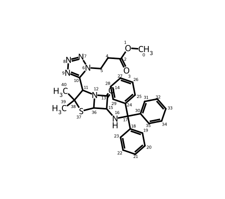 COC(=O)CCn1nnnc1C1N2C(=O)C(NC(c3ccccc3)(c3ccccc3)c3ccccc3)C2SC1(C)C